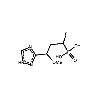 COC(CC(F)P(=O)(O)O)c1nc[nH]n1